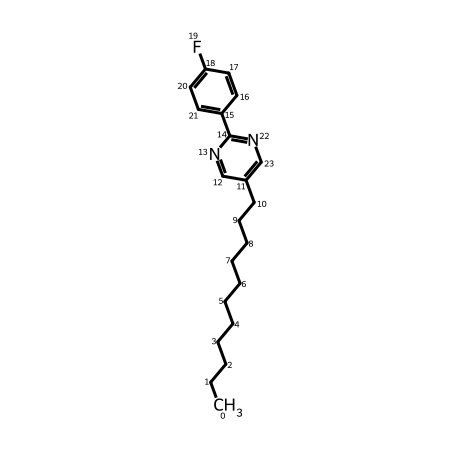 CCCCCCCCCCCc1cnc(-c2ccc(F)cc2)nc1